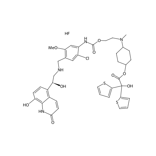 COc1cc(NC(=O)OCCN(C)C2CCC(OC(=O)C(O)(c3cccs3)c3cccs3)CC2)c(Cl)cc1CNC[C@@H](O)c1ccc(O)c2[nH]c(=O)ccc12.F